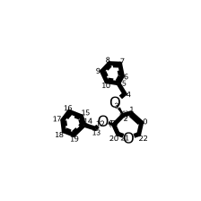 C1=C[C@H](OCc2ccccc2)[C@H](OCc2ccccc2)COC1